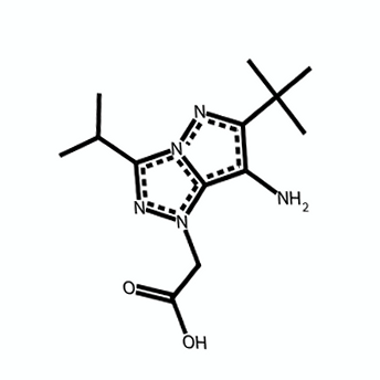 CC(C)c1nn(CC(=O)O)c2c(N)c(C(C)(C)C)nn12